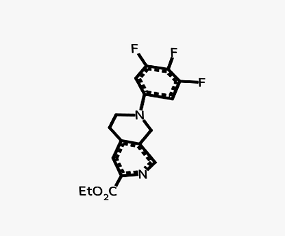 CCOC(=O)c1cc2c(cn1)CN(c1cc(F)c(F)c(F)c1)CC2